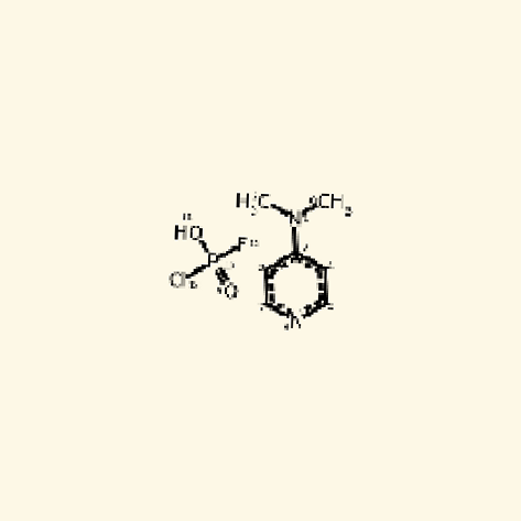 CN(C)c1ccncc1.O=P(O)(F)Cl